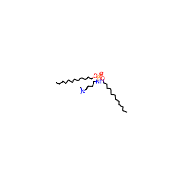 CCCCCCCCCCCCOP(=O)(NCCCCN(C)C)OCCCCCCCCCCCC